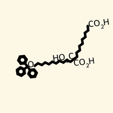 O=C(O)CCCCCCCCCCC(CCCCCCCCCCCOC(c1ccccc1)(c1ccccc1)c1ccccc1)(C(=O)O)C(=O)O